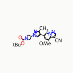 COc1cc(-c2cn(C3CN(C(=O)OC(C)(C)C)C3)nc2C)cn2ncc(C#N)c12